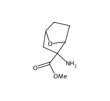 COC(=O)C1(N)CC2CCC1O2